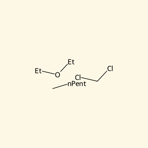 CCCCCC.CCOCC.ClCCl